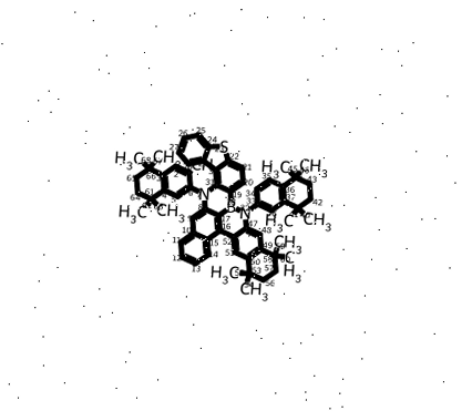 Cc1cc2c(cc1N1c3cc4ccccc4c4c3B(c3ccc5sc6ccccc6c5c31)N(c1ccc3c(c1)C(C)(C)CCC3(C)C)c1cc3c(cc1-4)C(C)(C)CCC3(C)C)C(C)(C)CCC2(C)C